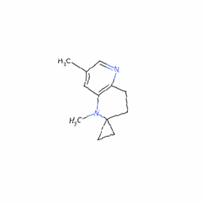 Cc1cnc2c(c1)N(C)C1(CC2)CC1